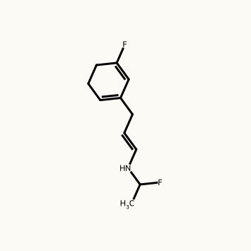 CC(F)N/C=C/CC1=CCCC(F)=C1